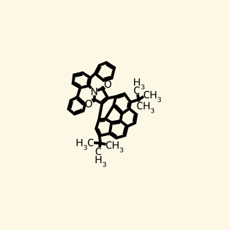 CC(C)(C)c1cc2c3c(=O)n(-c4c(-c5ccccc5)cccc4-c4ccccc4)c(=O)c3c3cc(C(C)(C)C)c4ccc5ccc1c1c5c4c3c21